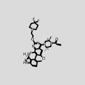 C=CC(=O)N1C[C@H](C)N(c2nc(OCCN3CCC(F)(F)CC3)nc3c(F)c(-c4c(C)ccc5[nH]nc(N)c45)c(Cl)cc23)C[C@H]1C